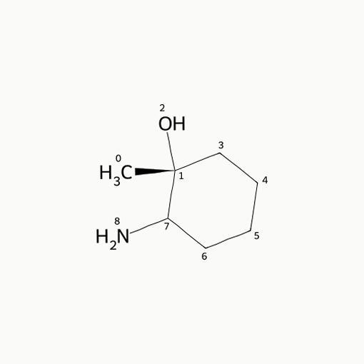 C[C@@]1(O)CCCCC1N